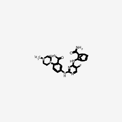 CNC(=O)c1cc(Nc2ncc(F)c(NC3C4C=CC(C4)C3C(N)=O)n2)ccc1N1CCN(C)CC1